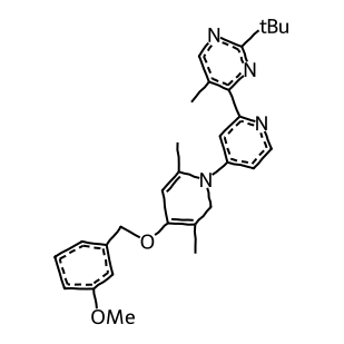 COc1cccc(COC2=C(C)CN(c3ccnc(-c4nc(C(C)(C)C)ncc4C)c3)C(C)=C2)c1